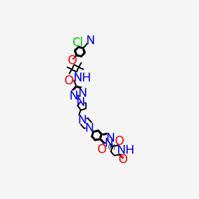 CC1(C)C(NC(=O)c2cnc(N3CCC(CN4CCN(c5ccc6c(=O)n([C@@H]7CCC(=O)NC7=O)ncc6c5)CC4)C3)nc2)C(C)(C)C1Oc1ccc(C#N)c(Cl)c1